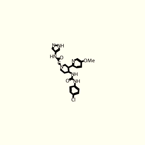 COc1ccc(C2CN(CC(=O)Nc3cn[nH]c3)CCC2NC(=O)Nc2ccc(Cl)cc2)nc1